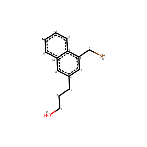 OCCCc1cc(CS)c2ccccc2c1